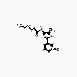 CCN(C(=O)CCSCC(F)(F)F)c1sc(-c2ccc[n+]([O-])c2)nc1C